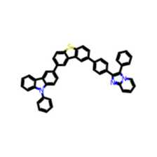 c1ccc(-c2c(-c3ccc(-c4ccc5sc6ccc(-c7ccc8c(c7)c7ccccc7n8-c7ccccc7)cc6c5c4)cc3)nc3ccccn23)cc1